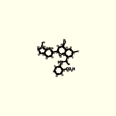 Cc1cc(C(C)Nc2ccccc2C(=O)O)c2oc(-c3ccc4cnn(C)c4n3)cc(=O)c2c1